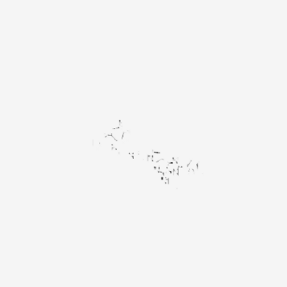 CCN(CCNCCn1ccc2c1nc(N)n1nc(-c3ccco3)nc21)c1ccc(F)cc1F